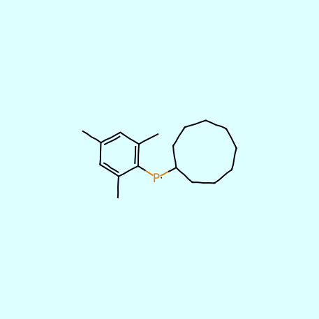 Cc1cc(C)c([P]C2CCCCCCCC2)c(C)c1